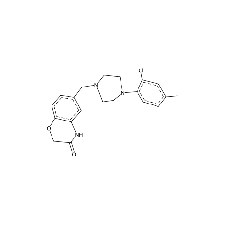 Cc1ccc(N2CCN(Cc3ccc4c(c3)NC(=O)CO4)CC2)c(Cl)c1